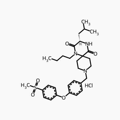 CCCCN1C(=O)[C@H](CC(C)C)NC(=O)C12CCN(Cc1ccc(Oc3ccc(S(C)(=O)=O)cc3)cc1)CC2.Cl